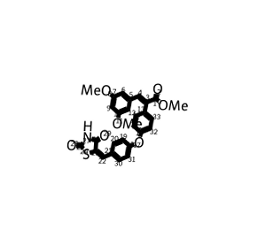 COC(=O)C(=Cc1cc(OC)cc(OC)c1)c1ccc(Oc2ccc(C=C3SC(=O)NC3=O)cc2)cc1